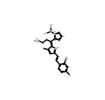 CC1=CC(/C=C/c2ccc(C)cc2Br)=NC/1=C(/CCN)c1cccn1B(F)F